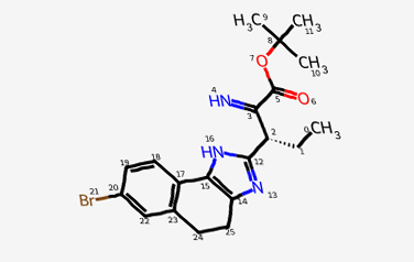 CC[C@@H](C(=N)C(=O)OC(C)(C)C)c1nc2c([nH]1)-c1ccc(Br)cc1CC2